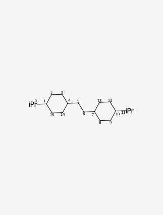 CC(C)C1CCC(CCC2CCC(C(C)C)CC2)CC1